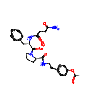 CC(=O)Oc1ccc(CCNC(=O)[C@@H]2CCCN2C(=O)[C@H](Cc2ccccc2)NC(=O)CCC(N)=O)cc1